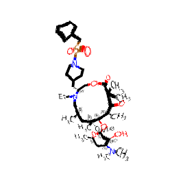 CCN1C[C@H](C)C[C@@](C)(OC)[C@H](O[C@@H]2O[C@H](C)C[C@H](N(C)C)[C@H]2O)[C@@H](C)C(=O)C(C)(C)C(=O)OC[C@H]1CC1CCN(S(=O)(=O)Cc2ccccc2)CC1